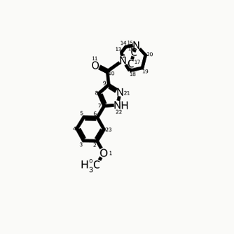 COc1cccc(-c2cc(C(=O)N3CCN4CCC3CC4)n[nH]2)c1